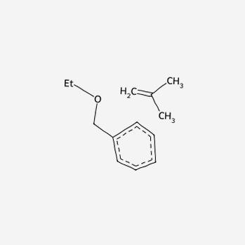 C=C(C)C.CCOCc1ccccc1